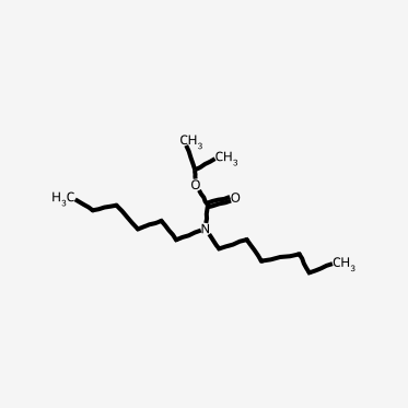 CCCCCCN(CCCCCC)C(=O)OC(C)C